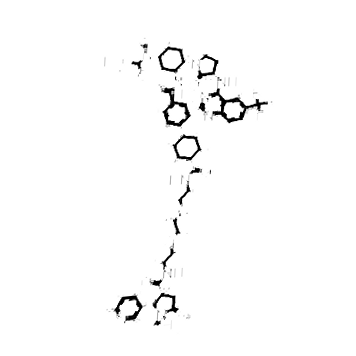 CC(C)N(C)[C@@H]1CC[C@H](N2CC[C@H](Nc3ncnc4ccc(C(F)(F)F)cc34)C2=O)[C@H](NC(=O)c2ccc([C@H]3CC[C@@H](C(=O)NCCOCCOCCNC(=O)[C@H]4CC(=O)N(C)[C@@H]4c4cccnc4)CC3)cc2)C1